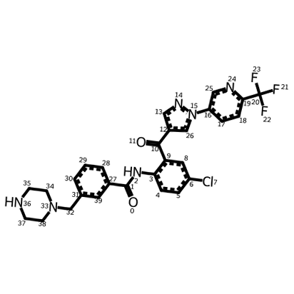 O=C(Nc1ccc(Cl)cc1C(=O)c1cnn(-c2ccc(C(F)(F)F)nc2)c1)c1cccc(CN2CCNCC2)c1